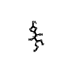 CC1OC[C@H]([C@@H](O)[C@H](O)[C@@H](COBr)OBr)O1